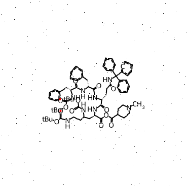 CN1CCC(C(=O)OC(=O)[C@@H](CC(CCNC(=O)OC(C)(C)C)NC(=O)OC(C)(C)C)NC(=O)[C@@H](CCC(=O)NC(c2ccccc2)(c2ccccc2)c2ccccc2)NC(=O)[C@@H](Cc2ccccc2)NC(=O)[C@@H](Cc2ccccc2)NC(=O)OC(C)(C)C)CC1